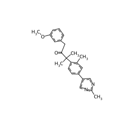 COc1cccc(CC(=O)C(C)(C)c2ccc(-c3cnc(C)nc3)cc2C)c1